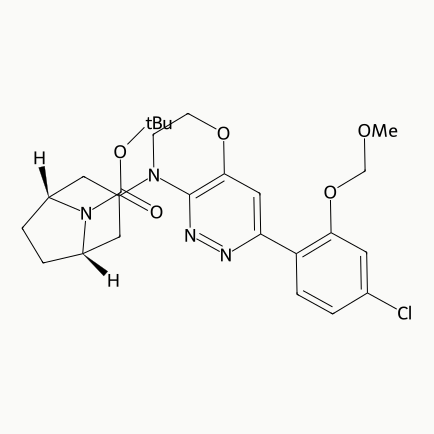 COCOc1cc(Cl)ccc1-c1cc2c(nn1)N(C1C[C@H]3CC[C@@H](C1)N3C(=O)OC(C)(C)C)CCO2